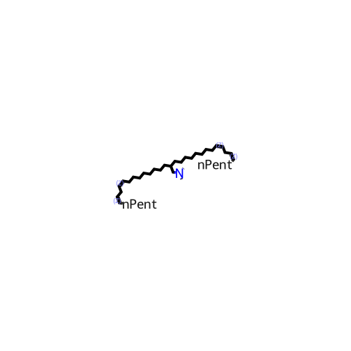 CCCCC/C=C\C/C=C\CCCCCCCCC(CCCCCCCC/C=C\C/C=C\CCCCC)CN(C)C